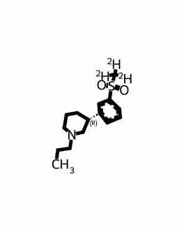 [2H]C([2H])([2H])S(=O)(=O)c1cccc([C@H]2CCCN(CCC)C2)c1